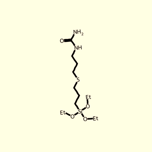 CCO[Si](CCCSCCCNC(N)=O)(OCC)OCC